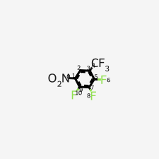 O=[N+]([O-])c1cc(C(F)(F)F)c(F)c(F)c1F